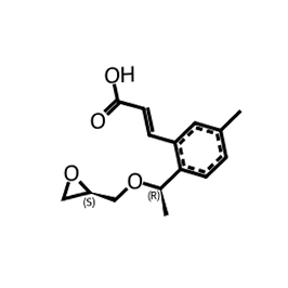 Cc1ccc([C@@H](C)OC[C@H]2CO2)c(C=CC(=O)O)c1